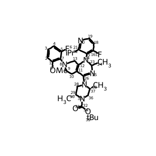 COc1cccc(F)c1N1CCC2=C(C1)N(c1c(F)ccnc1C(C)C)C(C)N=C2N1C[C@@H](C)N(C(=O)OC(C)(C)C)C[C@@H]1C